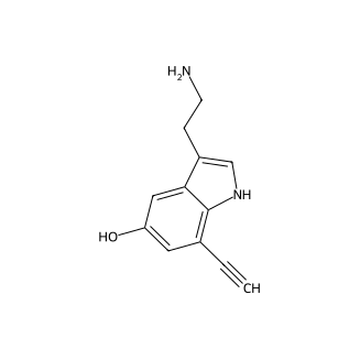 C#Cc1cc(O)cc2c(CCN)c[nH]c12